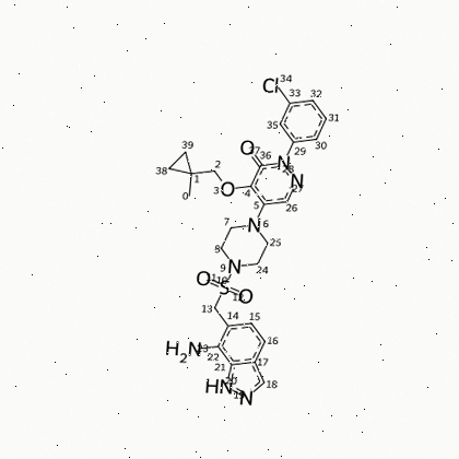 CC1(COc2c(N3CCN(S(=O)(=O)Cc4ccc5cn[nH]c5c4N)CC3)cnn(-c3cccc(Cl)c3)c2=O)CC1